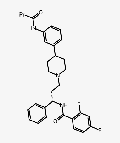 CC(C)C(=O)Nc1cccc(C2CCN(CC[C@H](NC(=O)c3ccc(F)cc3F)c3ccccc3)CC2)c1